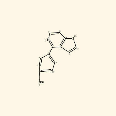 CC(C)(C)c1ccc(-c2nccc3sccc23)cc1